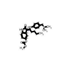 CCCC/C(Nc1ccc(CN(C)C)cc1)=C1/C(=O)Nc2ccc(OC(=O)OC)cc21